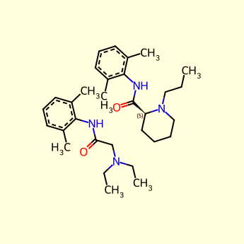 CCCN1CCCC[C@H]1C(=O)Nc1c(C)cccc1C.CCN(CC)CC(=O)Nc1c(C)cccc1C